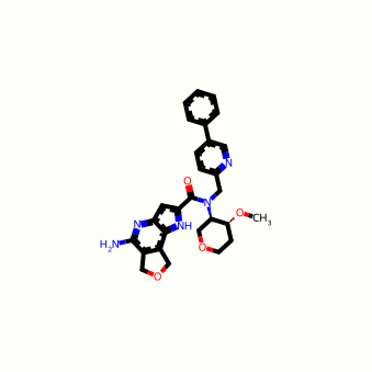 CO[C@@H]1CCOC[C@H]1N(Cc1ccc(-c2ccccc2)cn1)C(=O)c1cc2nc(N)c3c(c2[nH]1)COC3